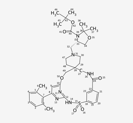 Cc1cccc(C)c1-c1cc2nc(n1)NS(=O)(=O)c1cccc(c1)C(=O)NCC1(CCN(C[C@H]3COC(C)(C)N3C(=O)OC(C)(C)C)CC1)CO2